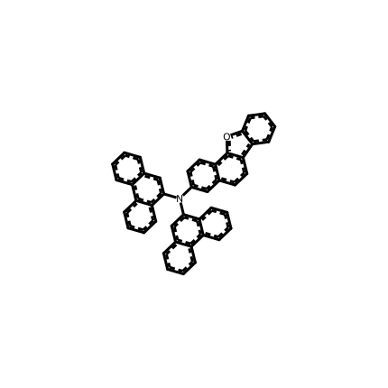 c1ccc2c(c1)cc(N(c1ccc3c(ccc4c5ccccc5oc34)c1)c1cc3ccccc3c3ccccc13)c1ccccc12